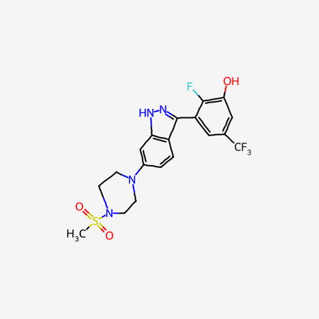 CS(=O)(=O)N1CCN(c2ccc3c(-c4cc(C(F)(F)F)cc(O)c4F)n[nH]c3c2)CC1